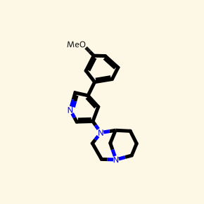 COc1cccc(-c2cncc(N3CCN4CCCC3C4)c2)c1